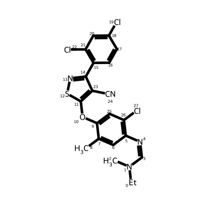 CCN(C)/C=N\c1cc(C)c(Oc2snc(-c3ccc(Cl)cc3Cl)c2C#N)cc1Cl